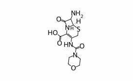 NC1C(=O)N2C(C(=O)O)=C(NC(=O)N3CCOCC3)CS[C@H]12